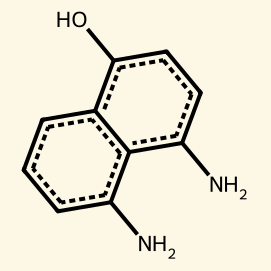 Nc1cccc2c(O)ccc(N)c12